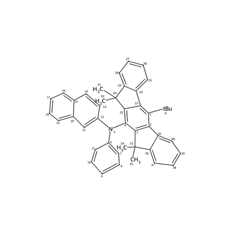 CC(C)(C)c1c2c(c(N(c3ccccc3)c3ccc4ccccc4c3)c3c1-c1ccccc1C3(C)C)C(C)(C)c1ccccc1-2